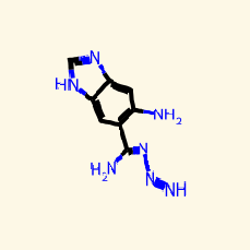 N=N/N=C(\N)c1cc2[nH]cnc2cc1N